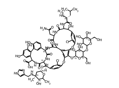 CN[C@H](CC(C)C)C(=O)NC1C(=O)NC(CC(N)=O)C(=O)NC2C(=O)N[C@H]3C(=O)N[C@H](C(=O)NC(C(=O)O)c4cc(O)cc(O)c4-c4cc3ccc4O)[C@H](O[C@H]3C[C@](C)(NCc4c[nH]cn4)[C@@H](O)C(C)O3)c3ccc(c(Cl)c3)Oc3cc2cc(c3O[C@@H]2O[C@H](CO)C(OC3O[C@H](CO)[C@H](O)C(O)C3O)[C@H](O)C2O)Oc2ccc(cc2Cl)C1O